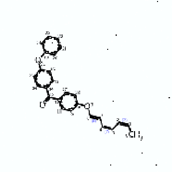 C\C=C/C=C\C=C\Oc1ccc(C(=O)c2ccc(Oc3ccccc3)cc2)cc1